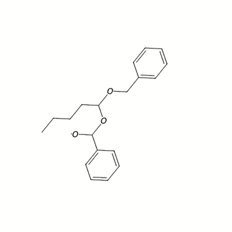 CCCCC(OCc1ccccc1)OC([O])c1ccccc1